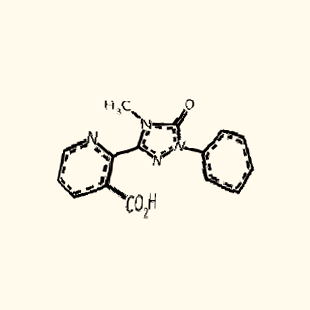 Cn1c(-c2ncccc2C(=O)O)nn(-c2ccccc2)c1=O